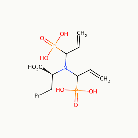 C=CC(N(C(C=C)P(=O)(O)O)[C@@H](CC(C)C)C(=O)O)P(=O)(O)O